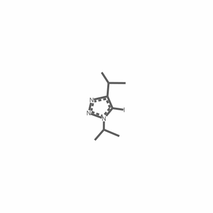 CC(C)c1nnn(C(C)C)c1I